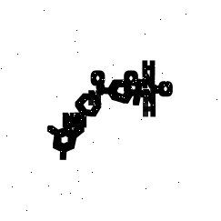 Cc1cc(C)c2nn(C3CCN(C(=O)c4ccc(C5(C)NC(=O)NC5=O)cc4)CC3)cc2c1